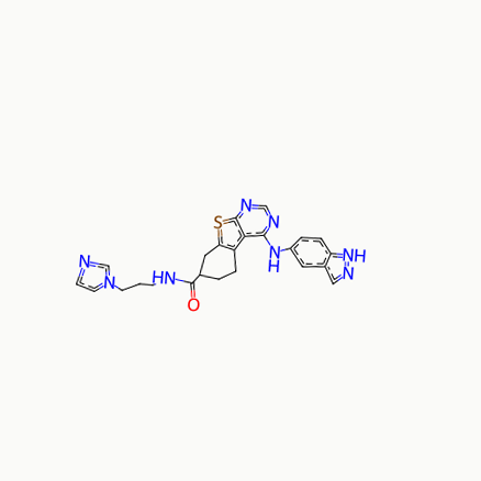 O=C(NCCCn1ccnc1)C1CCc2c(sc3ncnc(Nc4ccc5[nH]ncc5c4)c23)C1